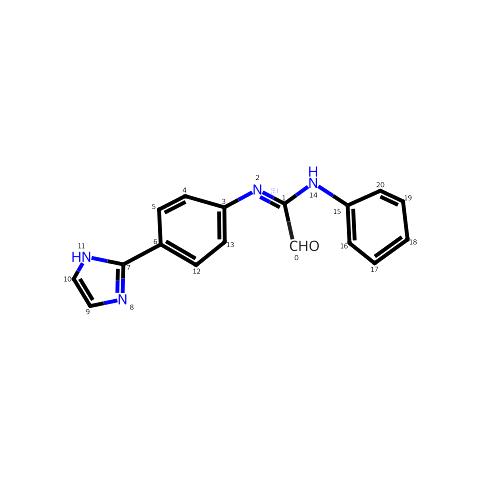 O=C/C(=N\c1ccc(-c2ncc[nH]2)cc1)Nc1ccccc1